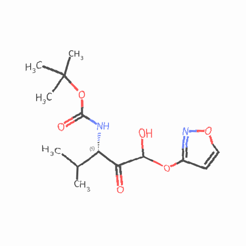 CC(C)[C@H](NC(=O)OC(C)(C)C)C(=O)C(O)Oc1ccon1